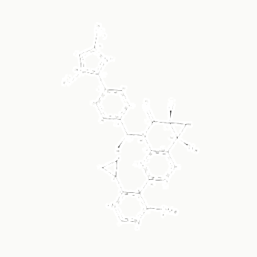 COc1ncnc(C2CC2)c1-c1ncc2c(n1)N([C@@H](C)c1ccc(-c3nc(C(F)(F)F)cn3C(C)C)cc1)C(=O)[C@@H]1C[C@H]21